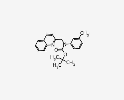 Cc1cccc(N(Cc2ccc3ccccc3n2)C(=O)OC(C)(C)C)c1